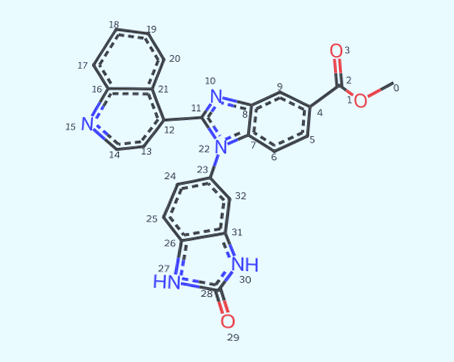 COC(=O)c1ccc2c(c1)nc(-c1ccnc3ccccc13)n2-c1ccc2[nH]c(=O)[nH]c2c1